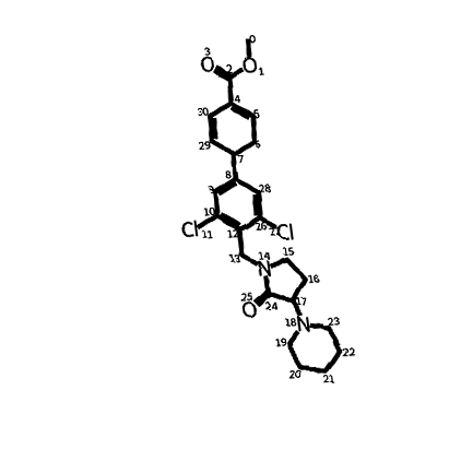 COC(=O)C1=CCC(c2cc(Cl)c(CN3CCC(N4CCCCC4)C3=O)c(Cl)c2)C=C1